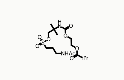 CC(=O)NCCCS(=O)(=O)OCC(C)(C)NC(=O)OCCOC(=O)C(C)C